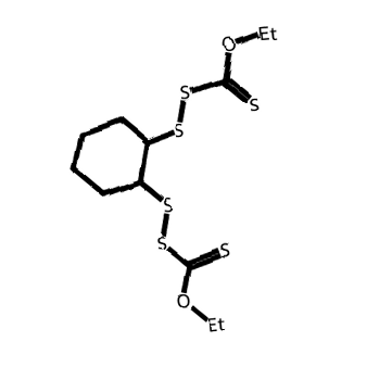 CCOC(=S)SSC1CCCCC1SSC(=S)OCC